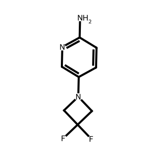 Nc1ccc(N2CC(F)(F)C2)cn1